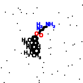 Cc1cc(OC(=O)C(N)CCCN)cc2c1[C@@]1(C)CC[C@H]3C(C)(C)CCC[C@]3(C)[C@H]1C2